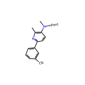 CCCCCN(C)c1ccc(-c2cccc(C#N)c2)nc1C